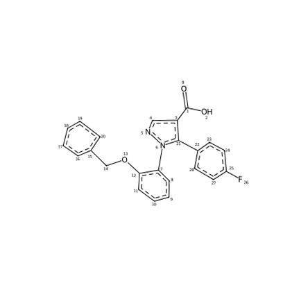 O=C(O)c1cnn(-c2ccccc2OCc2ccccc2)c1-c1ccc(F)cc1